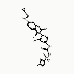 Cc1ccc(S(=O)(=O)NC(=O)Nc2ccc(-n3c(=O)[nH]c4cc(NCC5CC5)ccc4c3=O)c(Cl)c2)s1